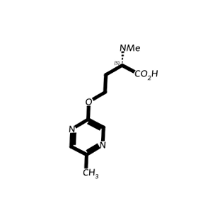 CN[C@@H](CCOc1cnc(C)cn1)C(=O)O